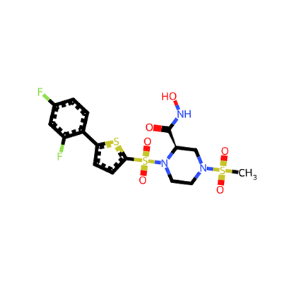 CS(=O)(=O)N1CCN(S(=O)(=O)c2ccc(-c3ccc(F)cc3F)s2)[C@@H](C(=O)NO)C1